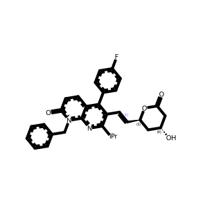 CC(C)c1nc2c(ccc(=O)n2Cc2ccccc2)c(-c2ccc(F)cc2)c1/C=C/[C@@H]1C[C@@H](O)CC(=O)O1